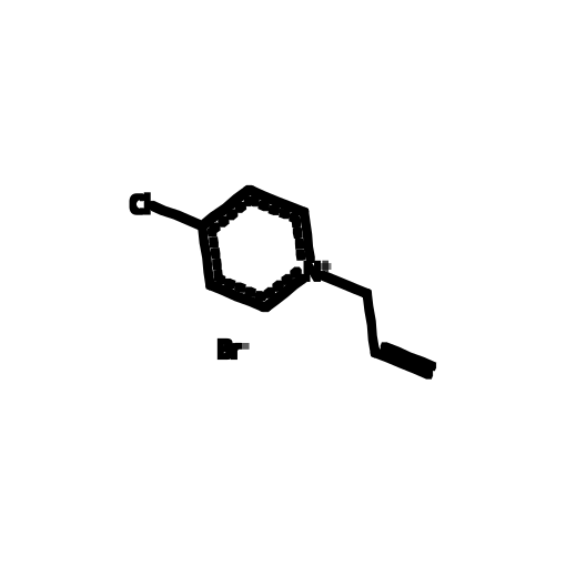 C=CC[n+]1ccc(Cl)cc1.[Br-]